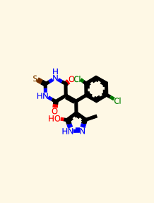 Cc1n[nH]c(O)c1C(=C1C(=O)NC(=S)NC1=O)c1cc(Cl)ccc1Cl